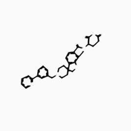 O=C1CCC(N2Cc3c(ccc4c3OCC43CCN(Cc4cccc(-c5ccccn5)c4)CC3)C2=O)C(=O)N1